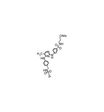 COCCCNS(=O)(=O)c1ccc(Nc2ncc(C)c(Nc3ccc(CNS(=O)(=O)C4CC4)cc3)n2)cc1